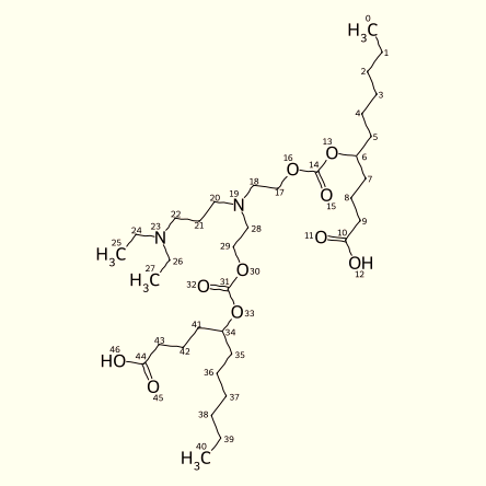 CCCCCCC(CCCC(=O)O)OC(=O)OCCN(CCCN(CC)CC)CCOC(=O)OC(CCCCCC)CCCC(=O)O